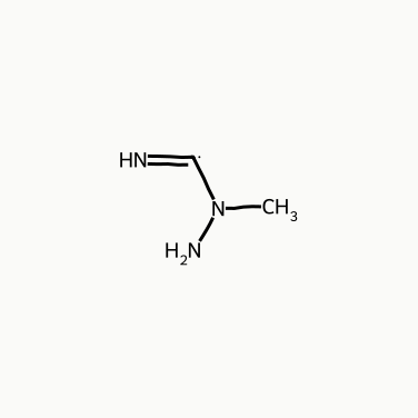 CN(N)[C]=N